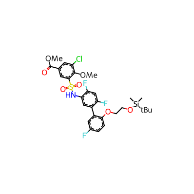 COC(=O)c1cc(Cl)c(OC)c(S(=O)(=O)Nc2cc(-c3cc(F)ccc3OCCO[Si](C)(C)C(C)(C)C)c(F)cc2F)c1